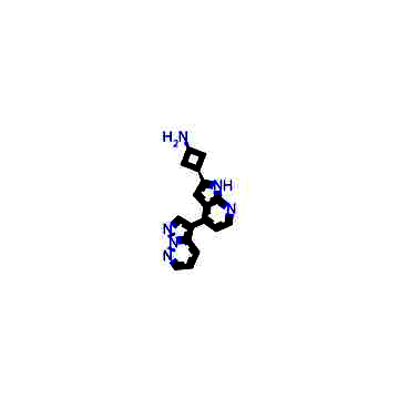 N[C@H]1C[C@@H](c2cc3c(-c4cnn5ncccc45)ccnc3[nH]2)C1